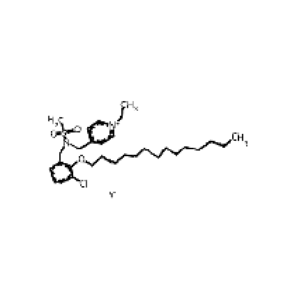 CCCCCCCCCCCCCCOc1c(Cl)cccc1CN(Cc1cc[n+](CC)cc1)S(C)(=O)=O.[I-]